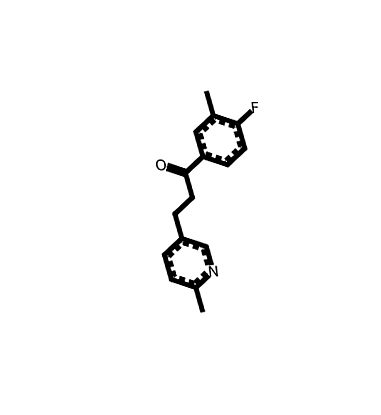 Cc1ccc(CCC(=O)c2ccc(F)c(C)c2)cn1